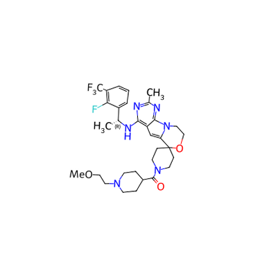 COCCN1CCC(C(=O)N2CCC3(CC2)OCCn2c3cc3c(N[C@H](C)c4cccc(C(F)(F)F)c4F)nc(C)nc32)CC1